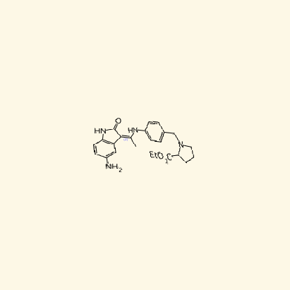 CCOC(=O)C1CCCN1Cc1ccc(N/C(C)=C2\C(=O)Nc3ccc(N)cc32)cc1